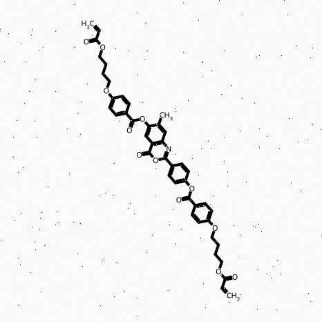 C=CC(=O)OCCCCOc1ccc(C(=O)Oc2ccc(-c3nc4cc(C)c(OC(=O)c5ccc(OCCCCOC(=O)C=C)cc5)cc4c(=O)o3)cc2)cc1